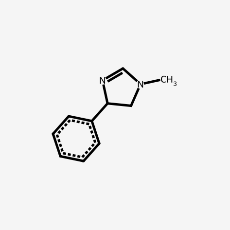 CN1C=NC(c2ccccc2)C1